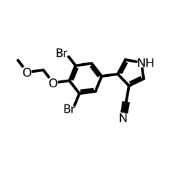 COCOc1c(Br)cc(-c2c[nH]cc2C#N)cc1Br